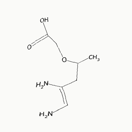 CC(C/C(N)=C/N)OCC(=O)O